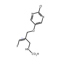 O=C(O)NC/C(=C\F)COc1cnc(Cl)nc1